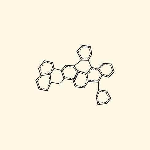 c1ccc(-c2c3ccccc3c(-c3ccccc3-c3ccc4c(c3)-c3cccc5cccc(c35)S4)c3ccccc23)cc1